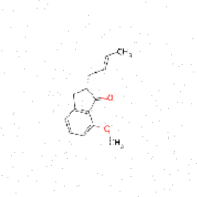 CC=CC[C@H]1Cc2cccc(OC)c2C1=O